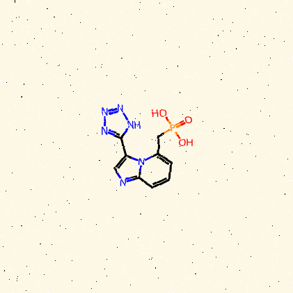 O=P(O)(O)Cc1cccc2ncc(-c3nnn[nH]3)n12